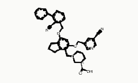 N#Cc1cncc(COc2cc(OCc3cccc(-c4ccccc4)c3C#N)c3c(c2CN2CCC[C@@H](C(=O)O)C2)CCC3)c1